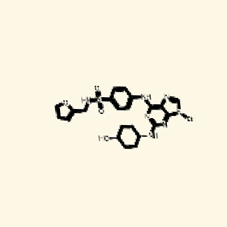 CCn1cnc2c(Nc3ccc(S(=O)(=O)NCc4ccco4)cc3)nc(N[C@H]3CC[C@H](O)CC3)nc21